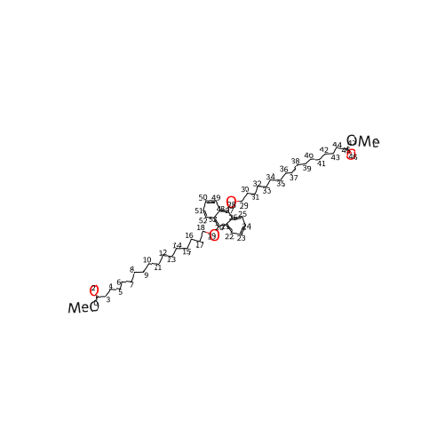 COC(=O)CCCCCCCCCCCCCCCCOc1c2ccccc2c(OCCCCCCCCCCCCCCCCC(=O)OC)c2ccccc12